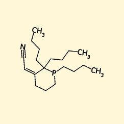 CCCCP1CCCC(=CC#N)C1(CCCC)CCCC